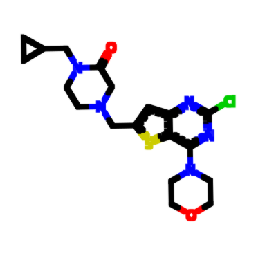 O=C1CN(Cc2cc3nc(Cl)nc(N4CCOCC4)c3s2)CCN1CC1CC1